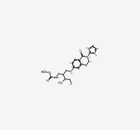 CC(CF)C(CNC(=O)OC(C)(C)C)COc1ccc2c(c1)CCN(c1nccs1)C2=O